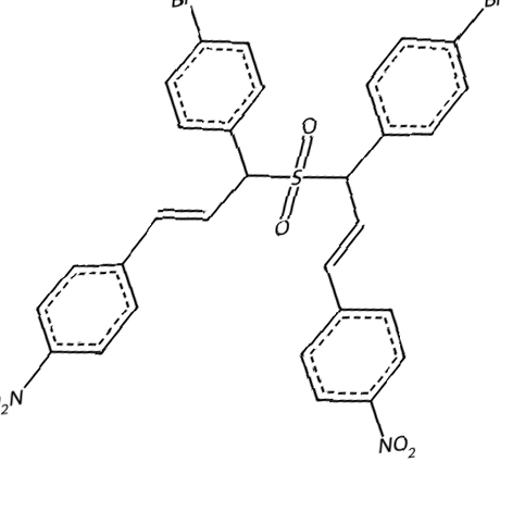 O=[N+]([O-])c1ccc(C=CC(c2ccc(Br)cc2)S(=O)(=O)C(C=Cc2ccc([N+](=O)[O-])cc2)c2ccc(Br)cc2)cc1